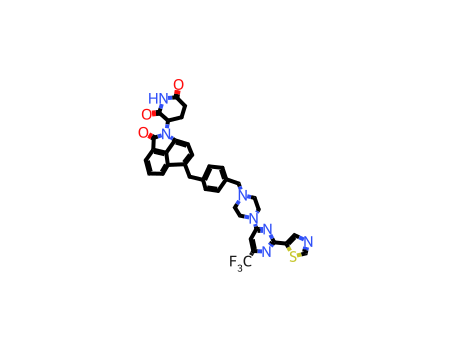 O=C1CCC(N2C(=O)c3cccc4c(Cc5ccc(CN6CCN(c7cc(C(F)(F)F)nc(-c8cncs8)n7)CC6)cc5)ccc2c34)C(=O)N1